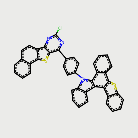 Clc1nc(-c2ccc(-n3c4ccccc4c4c5c6ccccc6sc5c5ccccc5c43)cc2)c2sc3c4ccccc4ccc3c2n1